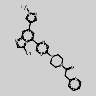 Cn1cc(-c2cc(-c3cnc(N4CCN(C(=O)Cc5ccccn5)CC4)cn3)n3c(C#N)cnc3c2)cn1